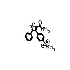 NC(=O)c1onc(-c2ccccc2)c1-c1ccc(S(N)(=O)=O)cc1